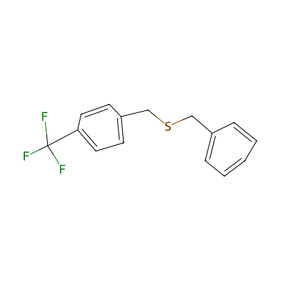 FC(F)(F)c1ccc(CSCc2ccccc2)cc1